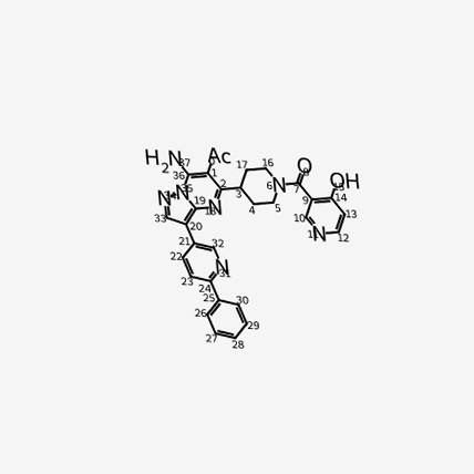 CC(=O)c1c(C2CCN(C(=O)c3cnccc3O)CC2)nc2c(-c3ccc(-c4ccccc4)nc3)cnn2c1N